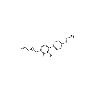 C=CCOCc1ccc(C2=CCC(/C=C/CC)CC2)c(F)c1F